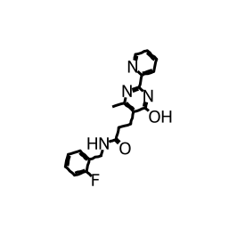 Cc1nc(-c2ccccn2)nc(O)c1CCC(=O)NCc1ccccc1F